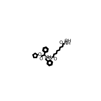 O=C(CCCCCCC(=O)Nc1ccccc1CNC(C(=O)OC1CCCC1)c1ccccc1)NO